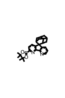 CC1(C)OB(c2ccc3c(n2)-c2ncccc2C32C3CC4CC(C3)CC2C4)OC1(C)C